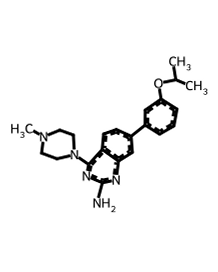 CC(C)Oc1cccc(-c2ccc3c(N4CCN(C)CC4)nc(N)nc3c2)c1